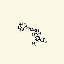 Cc1ncc(NC(=O)NC2CC3(C2)CN(C(=O)c2cnn4ccn(C)c24)C3)cc1C(F)(F)F